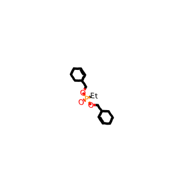 CCP(=O)(OCC1C=CCCC1)OCC1C=CCCC1